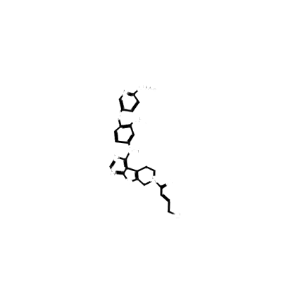 COc1ccc(Oc2ccc(Nc3ncnc4sc5c(c34)CCN(C(=O)/C=C/CCl)C5)cc2C)cn1